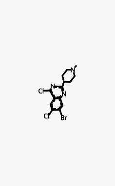 CN1CCC(c2nc(Cl)c3cc(Cl)c(Br)cc3n2)CC1